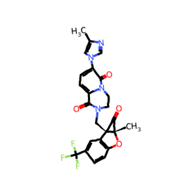 Cc1cn(-c2ccc3n(c2=O)CCN(C[C@@]24C(=O)[C@]2(C)Oc2ccc(C(F)(F)F)cc24)C3=O)cn1